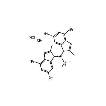 CC1=Cc2c(C(C)C)cc(C(C)C)cc2[CH]1[Hf]([CH]1C(C)=Cc2c(C(C)C)cc(C(C)C)cc21)[SiH](C)C.Cl.Cl